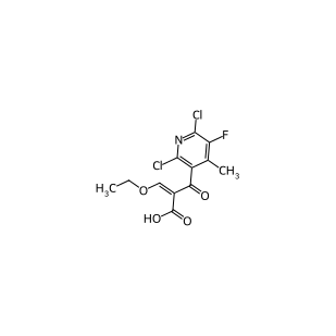 CCO/C=C(\C(=O)O)C(=O)c1c(Cl)nc(Cl)c(F)c1C